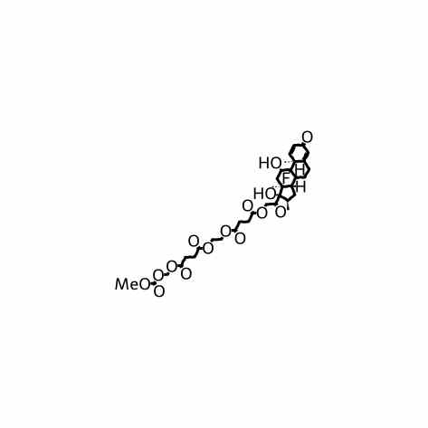 COC(=O)OCOC(=O)CCC(=O)OCCOC(=O)CCC(=O)OCC(=O)[C@@]1(O)[C@H](C)C[C@H]2[C@@H]3CCC4=CC(=O)C=C[C@]4(C)[C@@]3(F)[C@@H](O)C[C@@]21C